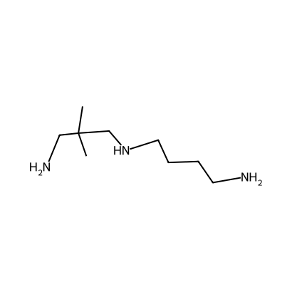 CC(C)(CN)CNCCCCN